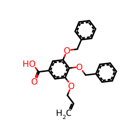 C=CCOc1cc(C(=O)O)cc(OCc2ccccc2)c1OCc1ccccc1